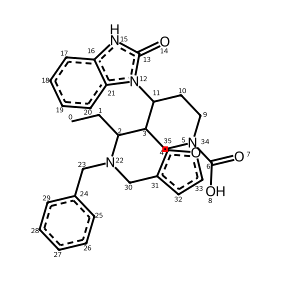 CCC(C1CN(C(=O)O)CCC1n1c(=O)[nH]c2ccccc21)N(Cc1ccccc1)Cc1ccoc1